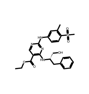 CCOC(=O)c1cnc(Nc2ccc(S(C)(=O)=O)c(C)c2)nc1N[C@H](CO)Cc1ccccc1